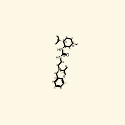 CC(C)[C@@H]1CC[C@@H](C)C[C@H]1NC(=O)NCCN(Cc1ccccc1)C(C)C